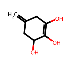 C=C1CC(O)=C(O)C(O)C1